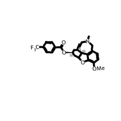 COc1ccc2c3c1OC1C[C@@H](OC(=O)c4ccc(C(F)(F)F)cc4)CC(C)[C@@]31CCN(C)C2